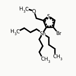 CCC[CH2][Sn]([CH2]CCC)([CH2]CCC)[c]1c(Br)csc1COC